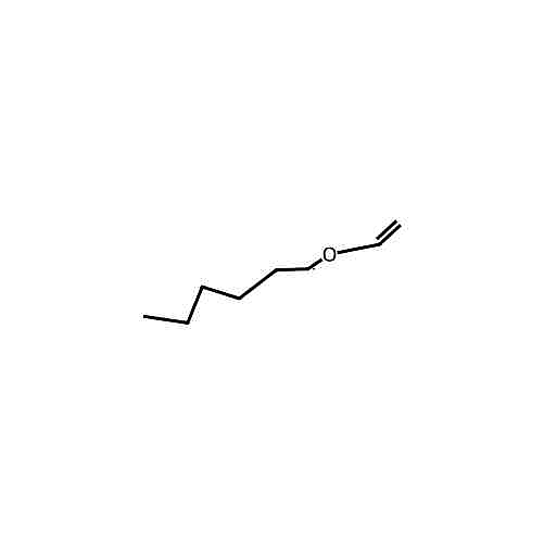 C=CO[CH]CCCCC